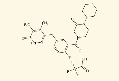 Cc1c(Cc2ccc(F)c(C(=O)N3CCN(C4CCCCC4)C(=O)C3)c2)n[nH]c(=O)c1C(F)(F)F.O=C(O)C(F)(F)F